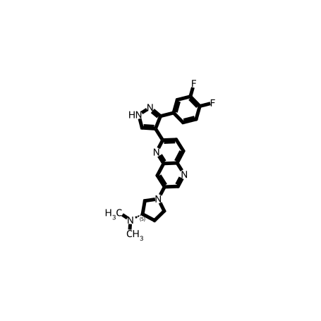 CN(C)[C@H]1CCN(c2cnc3ccc(-c4c[nH]nc4-c4ccc(F)c(F)c4)nc3c2)C1